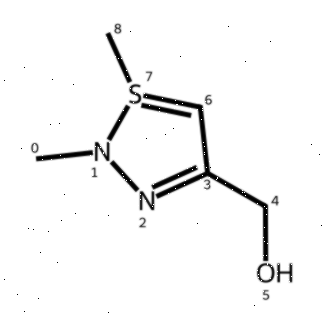 CN1N=C(CO)C=S1C